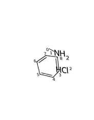 CN.Cl.c1ccccc1